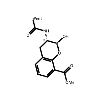 CCCCCC(=O)N[C@H]1Cc2cccc(C(=O)OC)c2OB1O